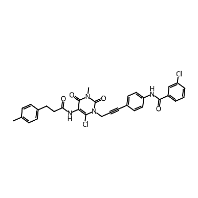 Cc1ccc(CCC(=O)Nc2c(Cl)n(CC#Cc3ccc(NC(=O)c4cccc(Cl)c4)cc3)c(=O)n(C)c2=O)cc1